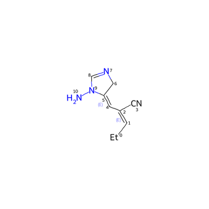 CC/C=C(C#N)\C=C1/CN=CN1N